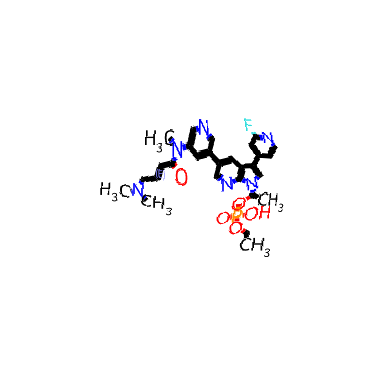 CCOP(=O)(O)OC(C)n1cc(-c2ccnc(F)c2)c2cc(-c3cncc(N(C)C(=O)/C=C/CN(C)C)c3)cnc21